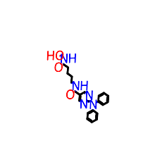 O=C(CCCCNC(=O)c1cnc(N(c2ccccc2)c2ccccc2)nc1)NO